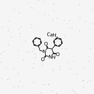 O=C1NC(=O)N(Cc2ccccc2)C(=O)C1c1ccccc1.[CaH2]